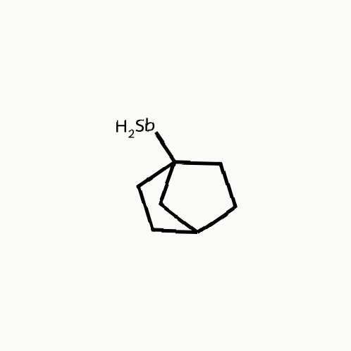 [SbH2][C]12CCC(CC1)C2